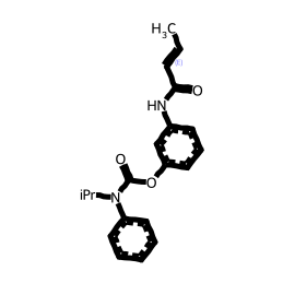 C/C=C/C(=O)Nc1cccc(OC(=O)N(c2ccccc2)C(C)C)c1